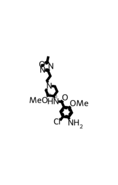 COc1cc(N)c(Cl)cc1C(=O)N[C@@H]1CCN(CCc2noc(C)n2)C[C@@H]1OC